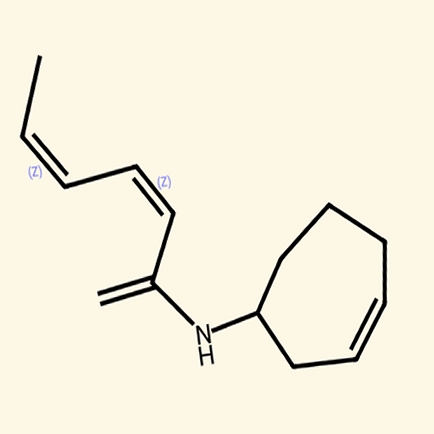 C=C(/C=C\C=C/C)NC1CC=CCCC1